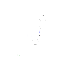 COc1ccc(C2=CN3C(=O)c4cc(OC)c(OCCCBr)cc4NC[C@@H]3C2)cc1OC